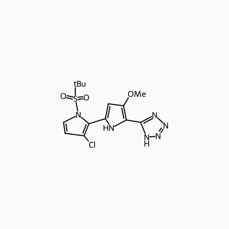 COc1cc(-c2c(Cl)ccn2S(=O)(=O)C(C)(C)C)[nH]c1-c1nnn[nH]1